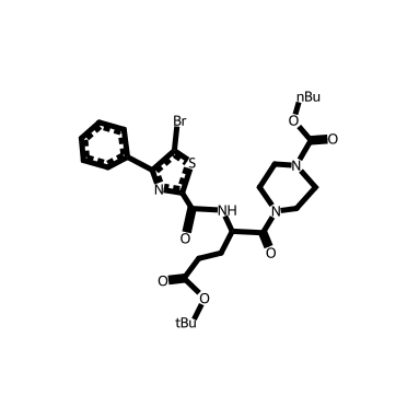 CCCCOC(=O)N1CCN(C(=O)C(CCC(=O)OC(C)(C)C)NC(=O)c2nc(-c3ccccc3)c(Br)s2)CC1